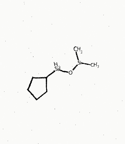 C[Si](C)O[SiH2]C1CCCC1